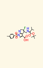 Cc1ccc(S(=O)(=O)n2cc(C(=O)O)c3c(CN[C@@H](C(=O)OC(C)(C)C)C(C)C)c(F)cnc32)cc1